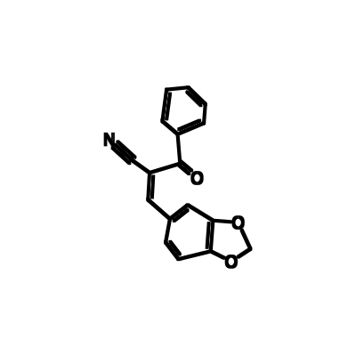 N#CC(=Cc1ccc2c(c1)OCO2)C(=O)c1ccccc1